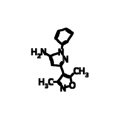 Cc1noc(C)c1-c1cc(N)n(-c2ccccc2)n1